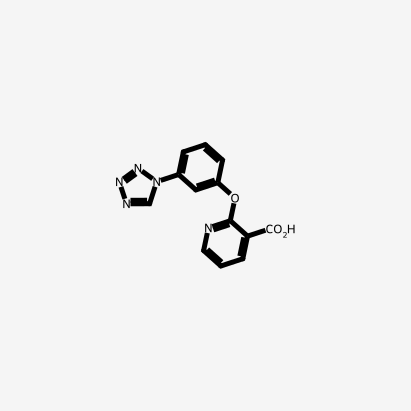 O=C(O)c1cccnc1Oc1cccc(-n2cnnn2)c1